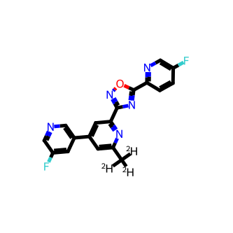 [2H]C([2H])([2H])c1cc(-c2cncc(F)c2)cc(-c2noc(-c3ccc(F)cn3)n2)n1